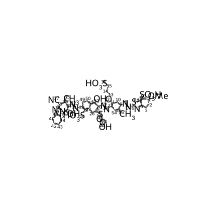 COc1ccc2nc(N=Nc3cc(OCCCS(=O)(=O)O)c(N=Nc4c(SOOO)cc5c(S(=O)(=O)O)c(N=Nc6c(C)c(C#N)c7nc8ccccc8n7c6O)ccc5c4O)cc3C)sc2c1S(=O)(=O)O